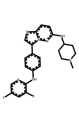 CN1CCC(Nc2ccc3ncc(-c4ccc(Nc5ncc(F)cc5F)cc4)n3n2)CC1